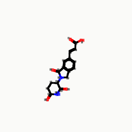 O=C(O)/C=C/c1ccc2c(c1)C(=O)N(C1CCC(=O)NC1=O)C2